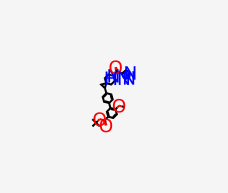 COc1ccc(C(=O)OC(C)(C)C)cc1-c1ccc(C2CC23CCN(C(=O)c2cnn[nH]2)CC3)cc1